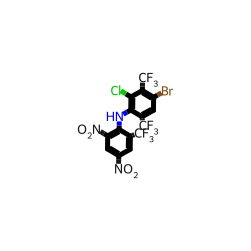 O=[N+]([O-])c1cc([N+](=O)[O-])c(Nc2c(C(F)(F)F)cc(Br)c(C(F)(F)F)c2Cl)c(C(F)(F)F)c1